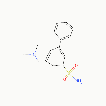 CN(C)C.NS(=O)(=O)c1cccc(-c2ccccc2)c1